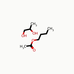 CC(O)CO.CCCCOC(C)=O